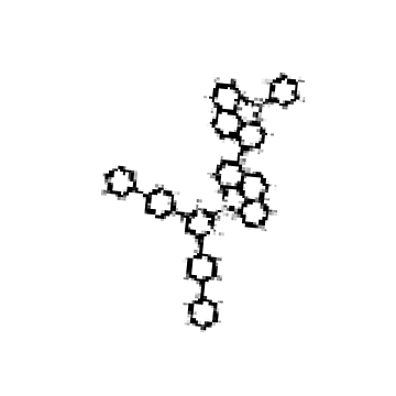 c1ccc(-c2ccc(-c3cc(-c4ccc(-c5ccccc5)cc4)nc(-n4c5cccc6ccc7c(-c8ccc9c%10c8ccc8cccc(c8%10)n9-c8ccccc8)ccc4c7c65)n3)cc2)cc1